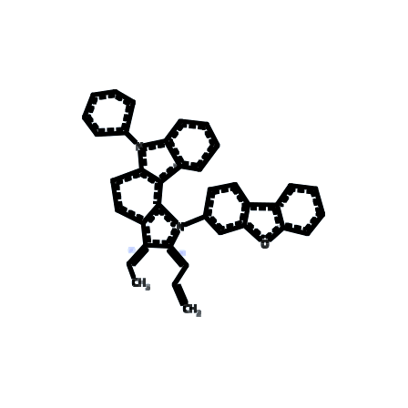 C=C/C=c1\c(=C/C)c2ccc3c(c4ccccc4n3-c3ccccc3)c2n1-c1ccc2c(c1)oc1ccccc12